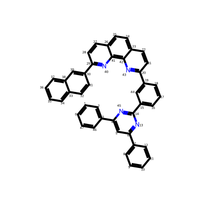 c1ccc(-c2cc(-c3ccccc3)nc(-c3cccc(-c4ccc5ccc6ccc(-c7ccc8ccccc8c7)nc6c5n4)c3)n2)cc1